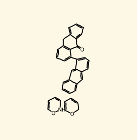 C1=CCOC=C1.C1=CNOC=C1.O=C1c2ccccc2Cc2cccc(-c3cccc4cc5ccccc5cc34)c21